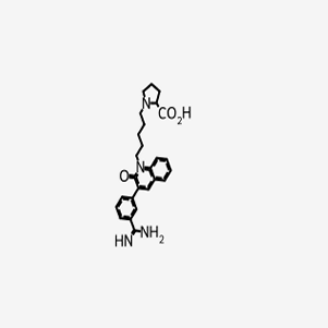 N=C(N)c1cccc(-c2cc3ccccc3n(CCCCCN3CCCC3C(=O)O)c2=O)c1